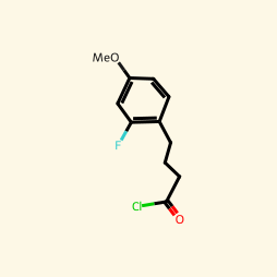 COc1ccc(CCCC(=O)Cl)c(F)c1